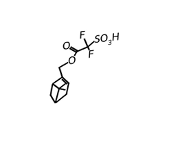 CC1(C)C2CC=C(COC(=O)C(F)(F)S(=O)(=O)O)C1C2